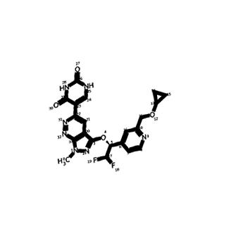 Cn1nc(O[C@H](c2ccnc(COC3CC3)c2)C(F)F)c2cc(-c3c[nH]c(=O)[nH]c3=O)nnc21